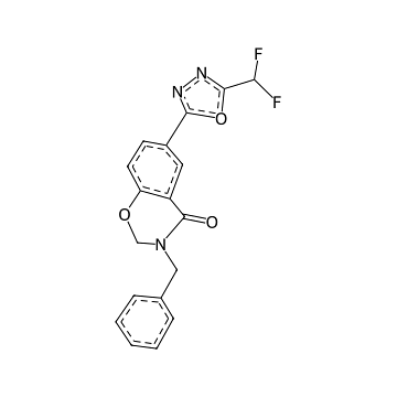 O=C1c2cc(-c3nnc(C(F)F)o3)ccc2OCN1Cc1ccccc1